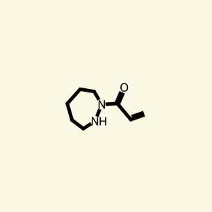 C=CC(=O)N1CCCCCN1